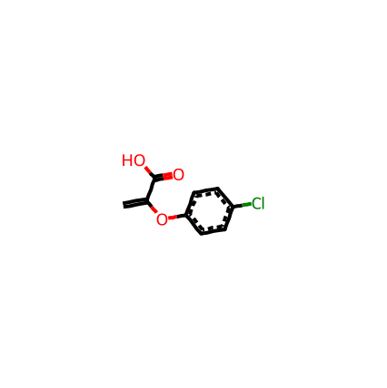 C=C(Oc1ccc(Cl)cc1)C(=O)O